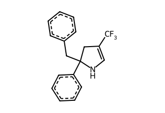 FC(F)(F)C1=CNC(Cc2ccccc2)(c2ccccc2)C1